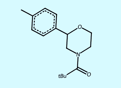 Cc1ccc(C2CN(C(=O)C(C)(C)C)CCO2)cc1